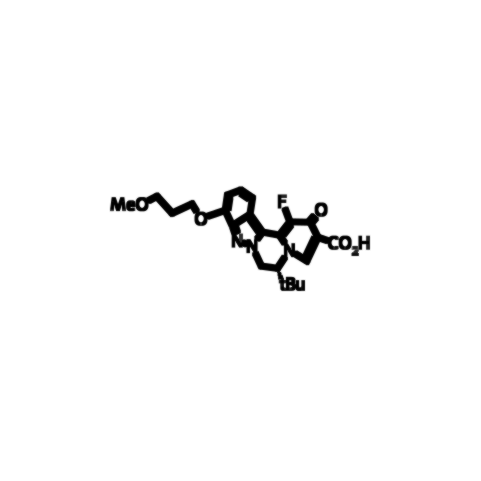 COCCCOc1cccc2c3n(nc12)C[C@@H](C(C)(C)C)n1cc(C(=O)O)c(=O)c(F)c1-3